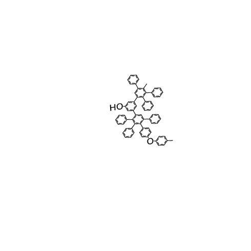 Cc1ccc(Oc2ccc(-c3c(-c4ccccc4)cc(-c4cc(O)cc(-c5cc(-c6ccccc6)c(C)c(-c6ccccc6)c5-c5ccccc5)c4)c(-c4ccccc4)c3-c3ccccc3)cc2)cc1